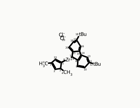 CC1=CC(C)[C]([Zr+2][CH]2c3ccc(C(C)(C)C)cc3-c3cc(C(C)(C)C)ccc32)=C1.[Cl-].[Cl-]